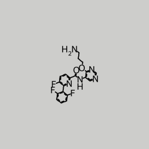 NCCCOc1ncncc1NC(=O)c1ccc(F)c(-c2c(F)cccc2F)n1